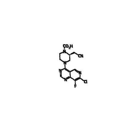 N#CC[C@H]1CN(c2ncnc3c(F)c(Cl)ncc23)CCN1C(=O)O